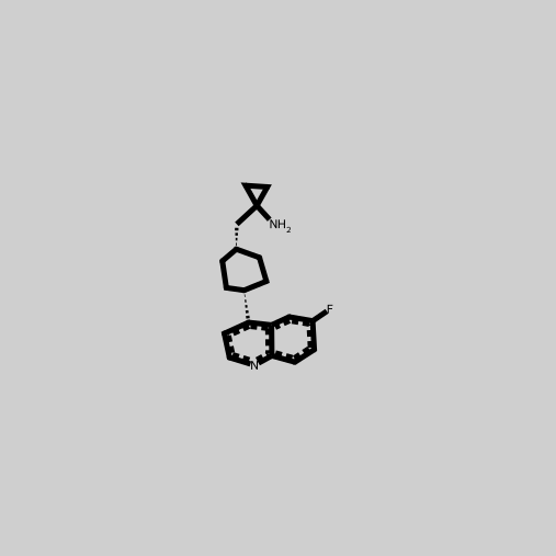 NC1(C[C@H]2CC[C@@H](c3ccnc4ccc(F)cc43)CC2)CC1